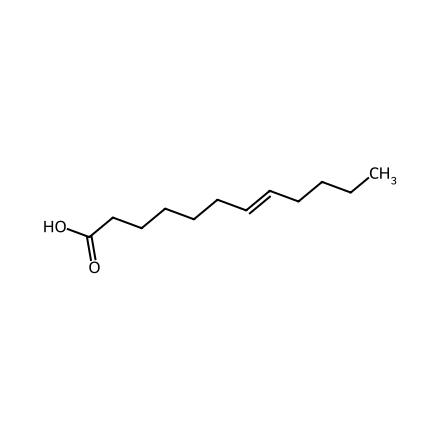 CCCCC=CCCCCCC(=O)O